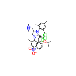 Cc1cc(C)c(N2CC(C[N+](C)(C)C)N(c3c(C)cc(C)cc3C)[C]2=[Ru-5]([Cl])([Cl])([Cl])=[CH]c2cc([N+](=O)[O-])ccc2OC(C)C)c(C)c1